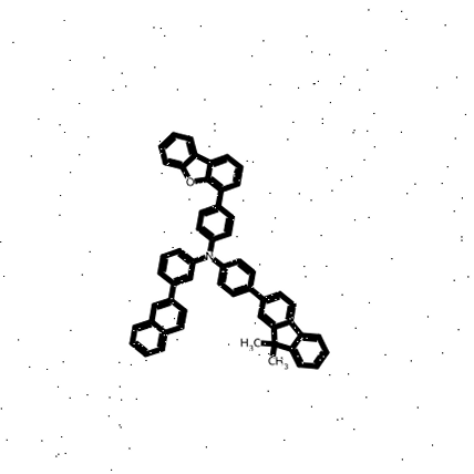 CC1(C)c2ccccc2-c2ccc(-c3ccc(N(c4ccc(-c5cccc6c5oc5ccccc56)cc4)c4cccc(-c5ccc6ccccc6c5)c4)cc3)cc21